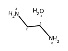 NCCN.O